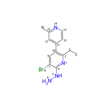 CCc1nc(NN)c(Br)cc1-c1ccnc(C)c1